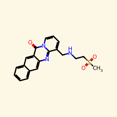 CS(=O)(=O)CCNCc1cccn2c(=O)c3cc4ccccc4cc3nc12